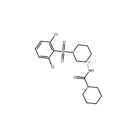 O=C(N[C@H]1CCCN(S(=O)(=O)c2c(Cl)cccc2Cl)C1)N1CCCCC1